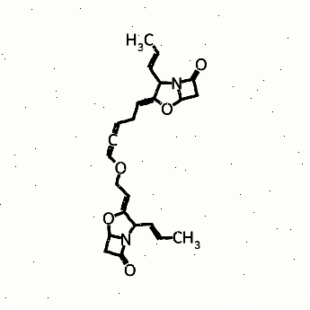 CC=CC1/C(=C/CC=C=COC/C=C2\OC3CC(=O)N3C2C=CC)OC2CC(=O)N21